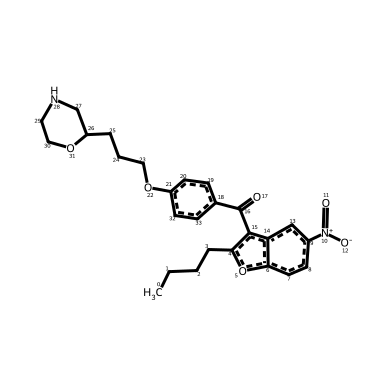 CCCCc1oc2ccc([N+](=O)[O-])cc2c1C(=O)c1ccc(OCCCC2CNCCO2)cc1